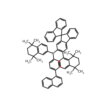 CC1(C)CCC(C)(C)c2cc(N(c3ccc(-c4cccc5ccccc45)cc3)c3cc4c(cc3-c3cccc5c3C(C)(C)CCC5(C)C)-c3ccccc3C43c4ccccc4-c4ccccc43)ccc21